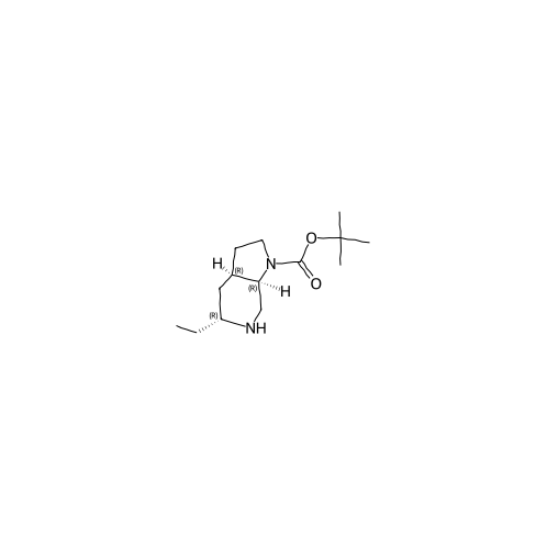 CC[C@@H]1C[C@H]2CCN(C(=O)OC(C)(C)C)[C@H]2CN1